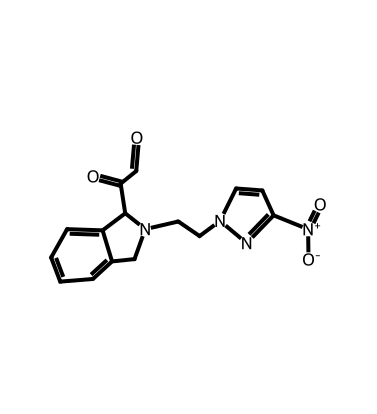 O=CC(=O)C1c2ccccc2CN1CCn1ccc([N+](=O)[O-])n1